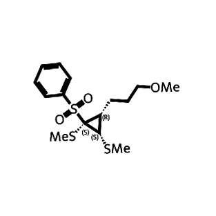 COCCC[C@@H]1[C@H](SC)[C@@]1(SC)S(=O)(=O)c1ccccc1